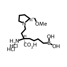 COC[C@H]1CCCN1CC[C@](N)(CCCCB(O)O)C(=O)O.Cl.Cl